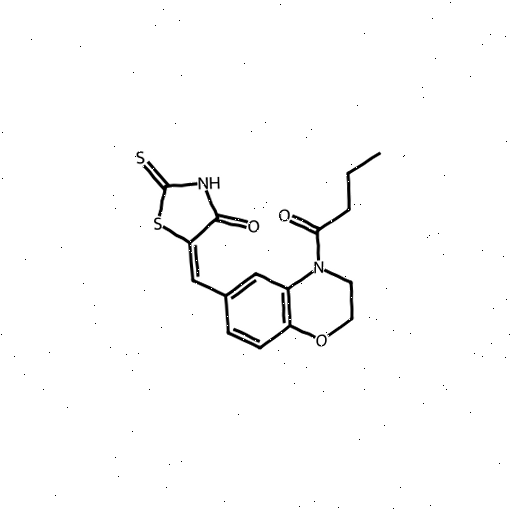 CCCC(=O)N1CCOc2ccc(C=C3SC(=S)NC3=O)cc21